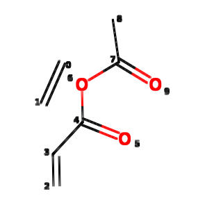 C=C.C=CC(=O)OC(C)=O